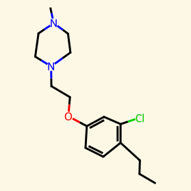 CCCc1ccc(OCCN2CCN(C)CC2)cc1Cl